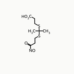 CC(C)(SCCC(=O)O)SCCC(=O)N=O